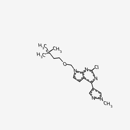 Cn1cc(-c2nc(Cl)nc3c2ccn3COCC[Si](C)(C)C)cn1